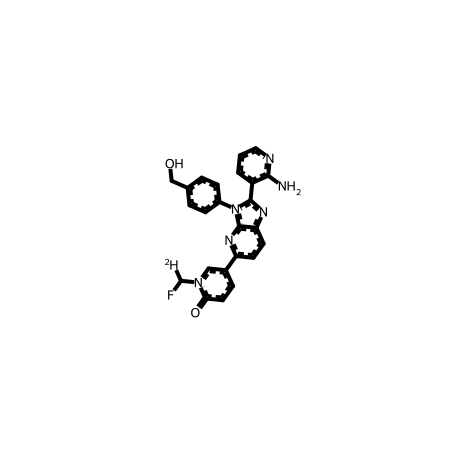 [2H]C(F)n1cc(-c2ccc3nc(-c4cccnc4N)n(-c4ccc(CO)cc4)c3n2)ccc1=O